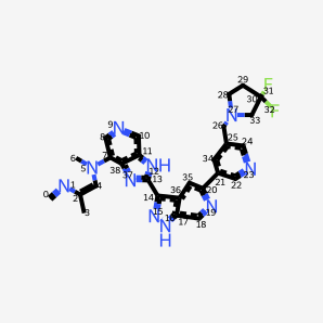 C=N/C(C)=C\N(C)c1cncc2[nH]c(-c3n[nH]c4cnc(-c5cncc(CN6CCC(F)(F)C6)c5)cc34)nc12